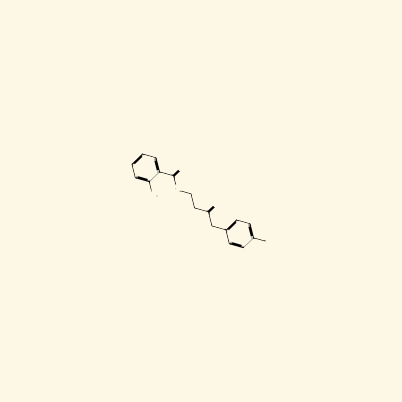 O=C(CCNC(=O)c1ccccc1O)Cc1ccc(F)cc1